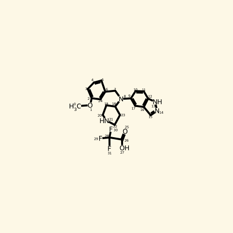 COc1cccc(CN(c2ccc3[nH]ncc3c2)C2CCNCC2)c1.O=C(O)C(F)(F)F